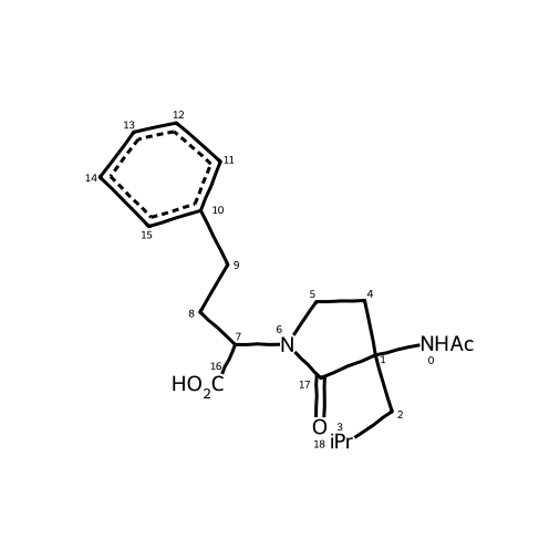 CC(=O)NC1(CC(C)C)CCN(C(CCc2ccccc2)C(=O)O)C1=O